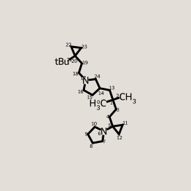 CC(C)(CCC1(N2CCCC2)CC1)CC1CCN(CCC2(C(C)(C)C)CC2)C1